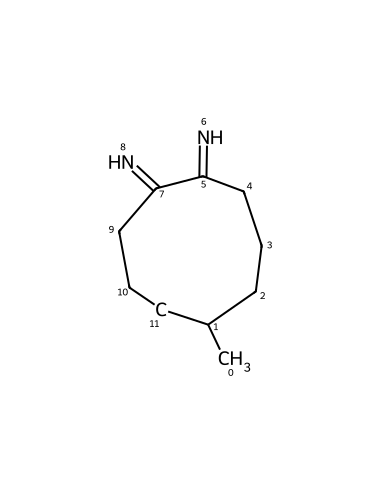 CC1CCCC(=N)C(=N)CCC1